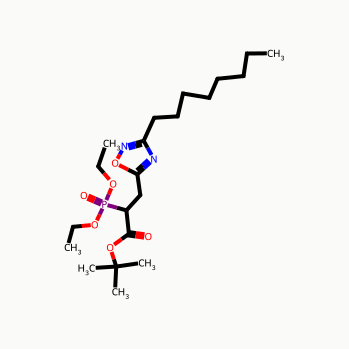 CCCCCCCCc1noc(CC(C(=O)OC(C)(C)C)P(=O)(OCC)OCC)n1